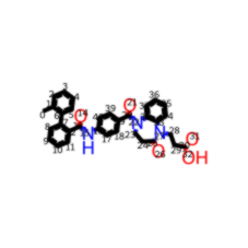 Cc1ccccc1-c1ccccc1C(=O)Nc1ccc(C(=O)N2CCC(=O)N(CCC(=O)O)c3ccccc32)cc1